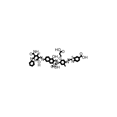 Cc1cc(N=Nc2c(S(=O)(=O)O)cc3cc(N=Nc4c(C)c(C(N)=O)c5nc6ccccc6n5c4O)ccc3c2O)c(OCCC(=O)O)cc1N=Nc1nc2ccc(C(=O)O)cc2s1